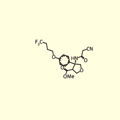 COC(=O)C1COC[C@@]1(NC(=O)CC#N)c1ccc(OCCCC(F)(F)F)cc1